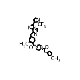 Cc1cc(Cc2nccn3c(C4=CCN=C4C(F)(F)F)cnc23)ccc1C(=O)N1CCN(C(=O)C[C@H]2CC[C@H](C)C2)CC1